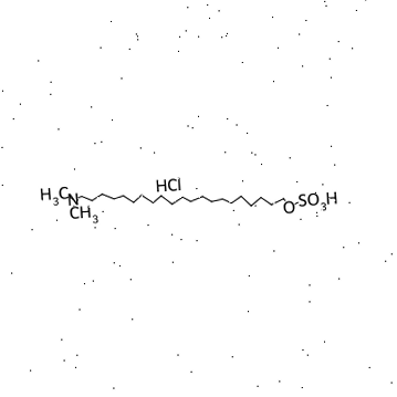 CN(C)CCCCCCCCCCCCCCCCCCCCCOS(=O)(=O)O.Cl